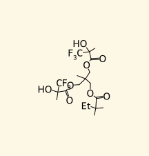 CCC(C)(C)C(=O)OCC(C)(COC(=O)C(C)(O)C(F)(F)F)COC(=O)C(C)(O)C(F)(F)F